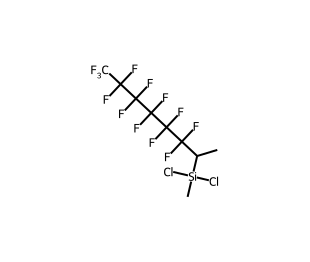 CC(C(F)(F)C(F)(F)C(F)(F)C(F)(F)C(F)(F)C(F)(F)F)[Si](C)(Cl)Cl